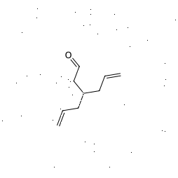 C=CCC(CC=C)CC=O